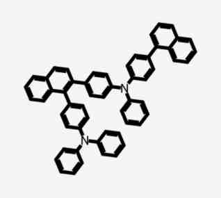 c1ccc(N(c2ccc(-c3ccc4ccccc4c3-c3ccc(N(c4ccccc4)c4ccccc4)cc3)cc2)c2ccc(-c3cccc4ccccc34)cc2)cc1